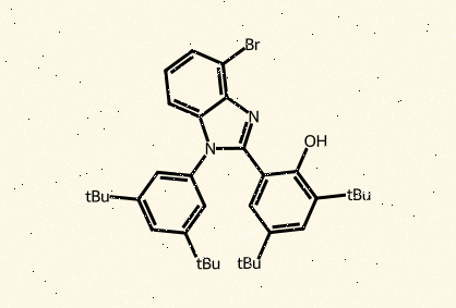 CC(C)(C)c1cc(-n2c(-c3cc(C(C)(C)C)cc(C(C)(C)C)c3O)nc3c(Br)cccc32)cc(C(C)(C)C)c1